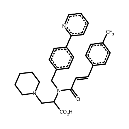 O=C(O)C(CN1CCCCC1)N(Cc1ccc(-c2ccccn2)cc1)C(=O)C=Cc1ccc(C(F)(F)F)cc1